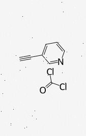 C#Cc1cccnc1.O=C(Cl)Cl